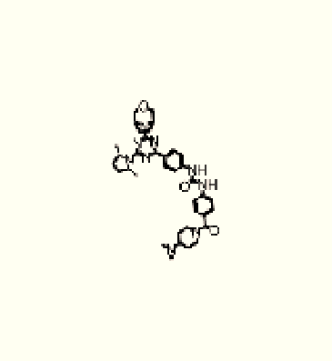 C[C@@H]1CC[C@H](C)N1c1nc(-c2ccc(NC(=O)Nc3ccc(C(=O)N4CCC(N(C)C)CC4)cc3)cc2)nc(N2C3CCC2COC3)n1